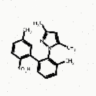 Cc1ccc(S(=O)(=O)O)c(-c2cccc(C)c2-n2nc(C)cc2C)c1